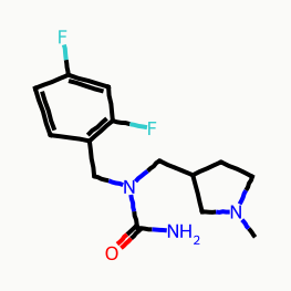 CN1CCC(CN(Cc2ccc(F)cc2F)C(N)=O)C1